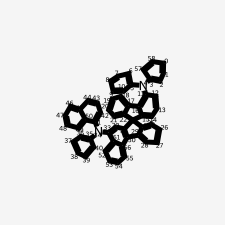 c1ccc(N(c2ccccc2)c2cccc3c2-c2ccccc2C32c3ccccc3-c3c2cc(N(c2ccccc2)c2cccc4ccccc24)c2ccccc32)cc1